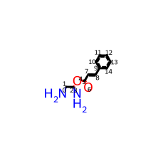 NCC(N)OC(=O)C=Cc1ccccc1